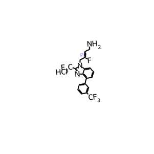 Cl.NC/C=C(\F)Cn1c(C(F)(F)F)nc2c(-c3cccc(C(F)(F)F)c3)cccc21